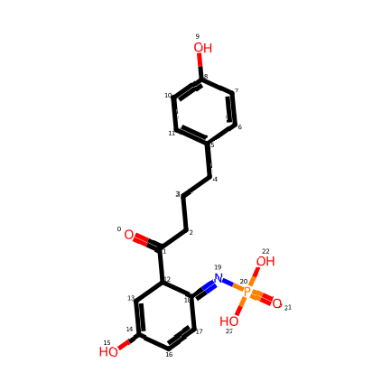 O=C(CCCc1ccc(O)cc1)C1C=C(O)C=CC1=NP(=O)(O)O